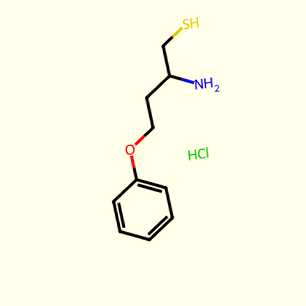 Cl.NC(CS)CCOc1ccccc1